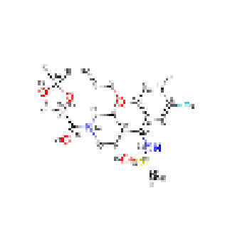 C=CCOc1cc(C)c(F)cc1C(N[S@@+]([O-])C(C)(C)C)C1CCN(C(=O)[C@H]2COC(C)(C)O2)CC1